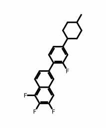 CC1CCC(c2ccc(-c3ccc4c(F)c(F)c(F)cc4c3)c(F)c2)CC1